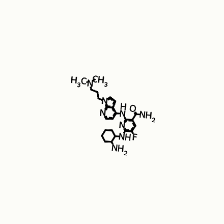 CN(C)CCCn1ccc2c(Nc3nc(NC4CCCCC4N)c(F)cc3C(N)=O)ccnc21